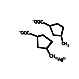 CC1CCC(C(=O)[O-])C1.CC1CCC(C(=O)[O-])C1.[Hg+2]